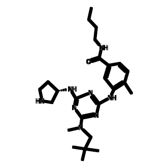 CCCCNC(=O)c1ccc(C)c(Nc2nc(N[C@H]3CCNC3)nc(N(C)CC(C)(C)C)n2)c1